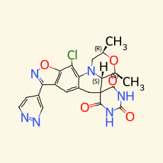 C[C@@H]1CN2c3c(cc4c(-c5ccnnc5)noc4c3Cl)CC3(C(=O)NC(=O)NC3=O)[C@H]2[C@H](C)O1